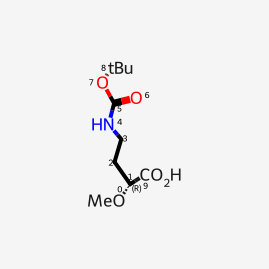 CO[C@H](CCNC(=O)OC(C)(C)C)C(=O)O